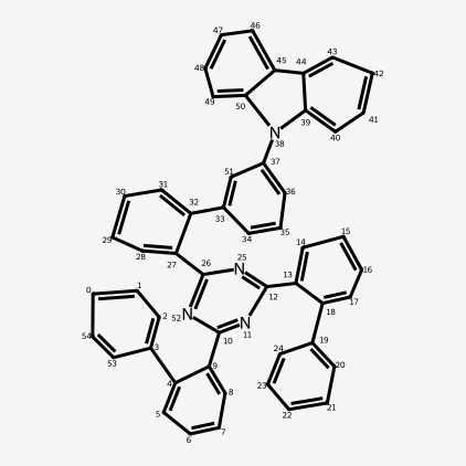 c1ccc(-c2ccccc2-c2nc(-c3ccccc3-c3ccccc3)nc(-c3ccccc3-c3cccc(-n4c5ccccc5c5ccccc54)c3)n2)cc1